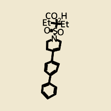 CCC(CC)(C(=O)O)S(=O)(=O)N1CC=C(c2ccc(-c3ccccc3)cc2)CC1